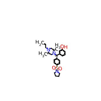 C=CCN1C[C@H](C)N([C@H](c2ccc(S(=O)(=O)N3CCCC3)cc2)c2cccc(O)c2)C[C@H]1C